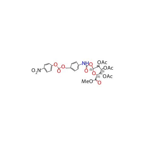 COC(=O)[C@H]1O[C@@H](OC(=O)Nc2ccc(COC(=O)Oc3ccc([N+](=O)[O-])cc3)cc2)[C@H](OC(C)=O)[C@@H](OC(C)=O)[C@@H]1OC(C)=O